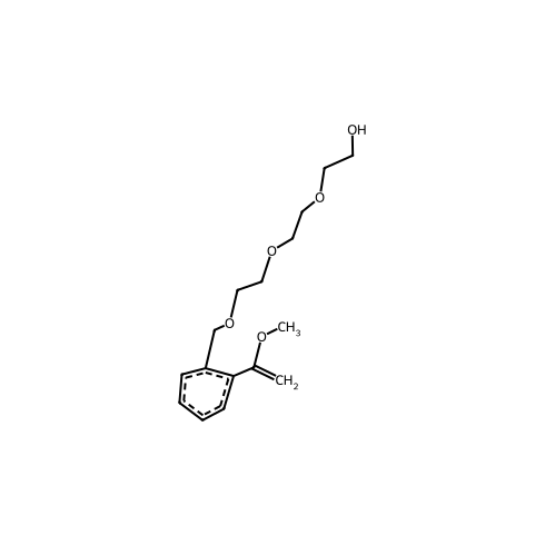 C=C(OC)c1ccccc1COCCOCCOCCO